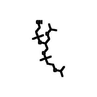 CC(C)OCCC(C)(C)OCC(COC(C)C)OC(C)(C)CCO